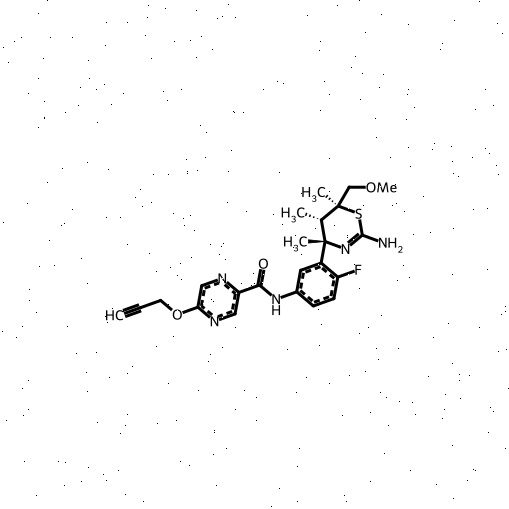 C#CCOc1cnc(C(=O)Nc2ccc(F)c([C@@]3(C)N=C(N)S[C@](C)(COC)[C@H]3C)c2)cn1